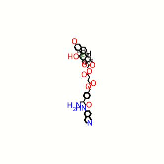 C[C@@H]1C[C@H]2[C@@H]3CCC4=CC(=O)C=C[C@]4(C)[C@@]3(F)[C@@H](O)C[C@@]23CO[C@]13C(=O)COC(=O)CCC(=O)OCc1ccc(C(CN)C(=O)Nc2ccc3cnccc3c2)cc1